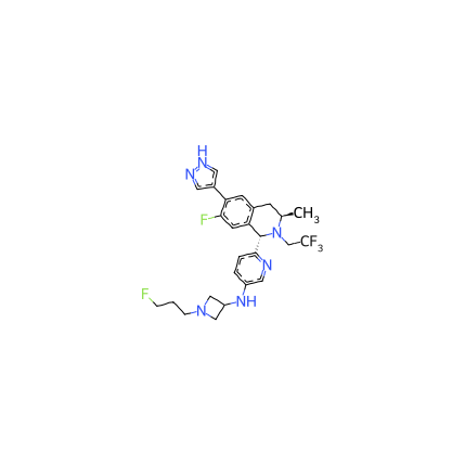 C[C@@H]1Cc2cc(-c3cn[nH]c3)c(F)cc2[C@@H](c2ccc(NC3CN(CCCF)C3)cn2)N1CC(F)(F)F